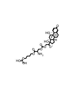 C[C@H]1C[C@H]2[C@@H]3CCC4=CC(=O)C=C[C@]4(C)[C@@]3(F)[C@@H](O)C[C@]2(C)[C@@]1(O)C(=O)COC(=O)OCC(N)C(=O)OCCCCON(O)O